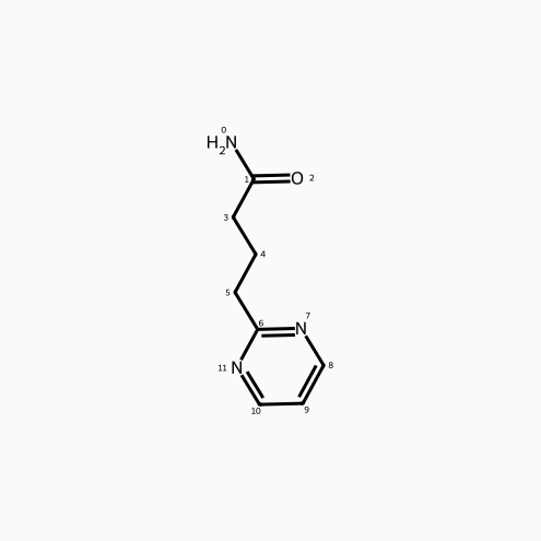 NC(=O)CCCc1ncccn1